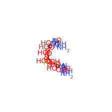 CN1CN([C@@H]2O[C@H](COP(=O)(O)OCC(COP(=O)(O)OC[C@H]3O[C@@H](n4cnc5c(=O)[nH]c(N)nc54)[C@H](O)[C@@H]3O)OP(=O)(O)F)[C@@H](O)[C@H]2O)c2nc(N)[nH]c(=O)c21